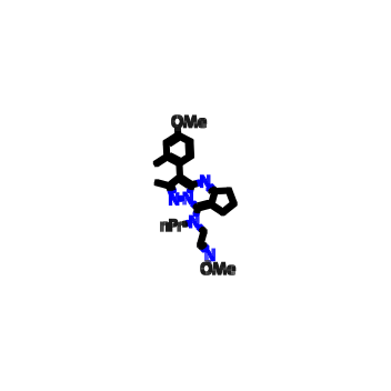 CCCN(C/C=N/OC)c1c2c(nc3c(-c4ccc(OC)cc4C)c(C)nn13)CCC2